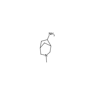 CN1CC2CC(N)C(C2)C1